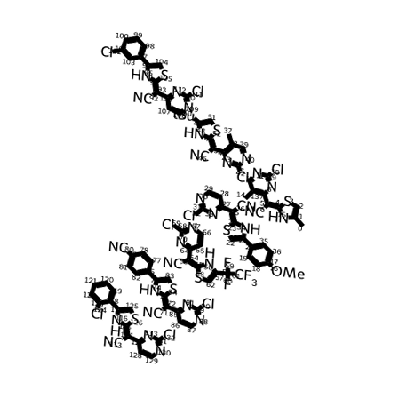 CC1=CSC(=C(C#N)c2nc(Cl)ncc2C)N1.COc1ccc(C2=CSC(=C(C#N)c3ccnc(Cl)n3)N2)cc1.Cc1cnc(Cl)nc1C(C#N)=C1NC(C(C)(C)C)=CS1.N#CC(=C1NC(C(F)(F)C(F)(F)F)=CS1)c1ccnc(Cl)n1.N#CC(=C1NC(c2ccc(C#N)cc2)=CS1)c1ccnc(Cl)n1.N#CC(=C1NC(c2cccc(Cl)c2)=CS1)c1ccnc(Cl)n1.N#CC(=C1NC(c2ccccc2Cl)=CS1)c1ccnc(Cl)n1